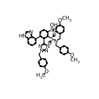 COc1ccc(CN(Cc2ccc(OC)cc2)S(=O)(=O)c2c(S(=O)O)ccc(-c3cccc4[nH]cnc34)c2-c2nnn(Cc3ccc(OC)cc3)n2)cc1